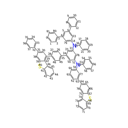 c1ccc(-c2cc(-c3ccccc3)cc(N(c3ccccc3)c3cc(-c4ccc(-c5cc(-c6ccccc6)cc6sc7ccccc7c56)cc4)cc(N(c4ccccc4)c4cccc(-c5ccc6sc7ccccc7c6c5)c4)c3)c2)cc1